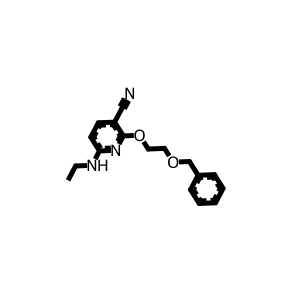 CCNc1ccc(C#N)c(OCCOCc2ccccc2)n1